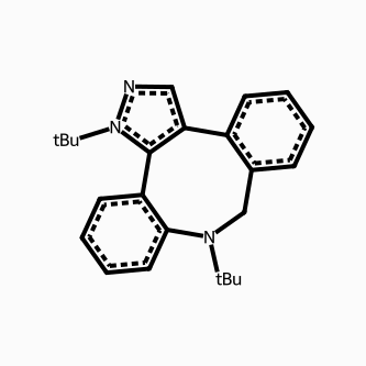 CC(C)(C)N1Cc2ccccc2-c2cnn(C(C)(C)C)c2-c2ccccc21